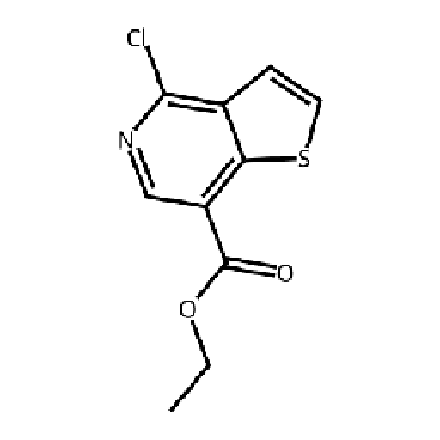 CCOC(=O)c1cnc(Cl)c2ccsc12